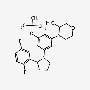 CC1COCCN1c1cc(OC(C)(C)C)nc(N2CCCC2c2cc(F)ccc2F)c1